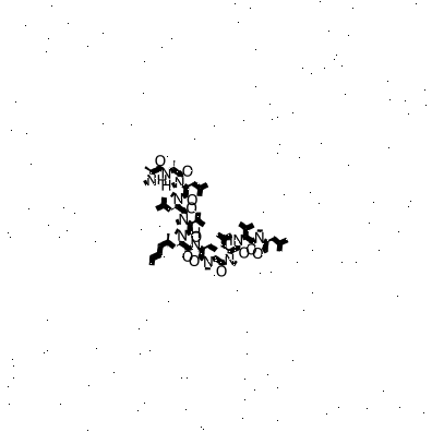 C/C=C/C[C@@H](C)C[C@@H](C(=O)N[C@@H](CC)C(=O)N(C)CC(=O)N(C)[C@@H](CC(C)C)C(=O)NC(C(=O)N(C)[C@H](C=O)CC(C)C)C(C)C)N(C)C(=O)[C@H](C(C)C)N(C)C(=O)[C@H](CC(C)C)N(C)C(=O)[C@H](CC(C)C)N(C)C(=O)[C@@H](C)NC(=O)[C@H](C)NC